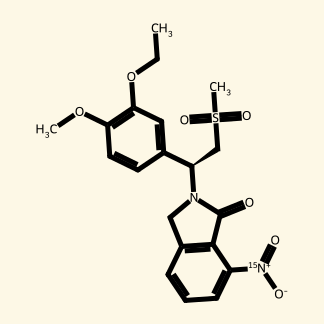 CCOc1cc([C@@H](CS(C)(=O)=O)N2Cc3cccc([15N+](=O)[O-])c3C2=O)ccc1OC